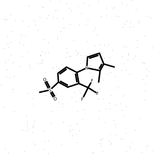 Cc1ccn(-c2ccc(S(C)(=O)=O)cc2C(F)(F)F)c1C